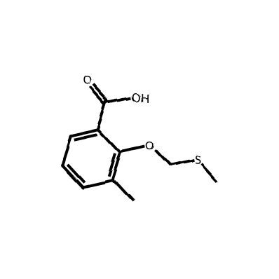 CSCOc1c(C)cccc1C(=O)O